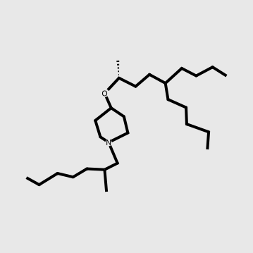 CCCCCC(C)CN1CCC(O[C@H](C)CCC(CCCC)CCCCC)CC1